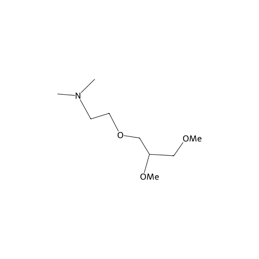 COCC(COCCN(C)C)OC